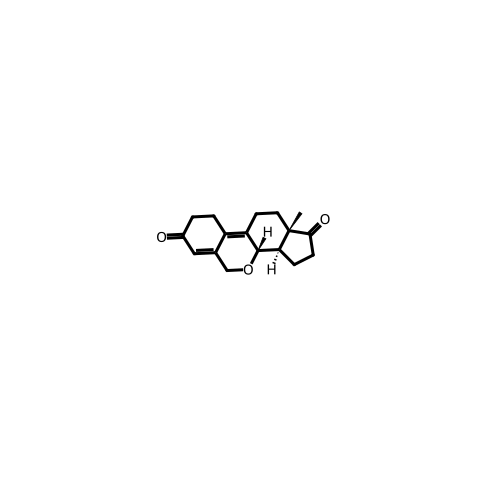 C[C@]12CCC3=C4CCC(=O)C=C4CO[C@H]3[C@@H]1CCC2=O